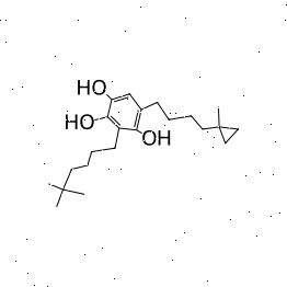 CC(C)(C)CCCCc1c(O)c(O)cc(CCCCC2(C)CC2)c1O